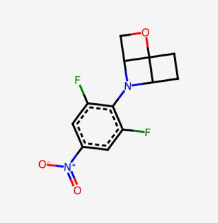 O=[N+]([O-])c1cc(F)c(N2C3CCC34OCC24)c(F)c1